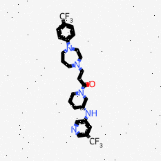 O=C(CCN1CCCN(c2ccc(C(F)(F)F)cc2)CC1)N1CCC[C@H](Nc2cncc(C(F)(F)F)c2)C1